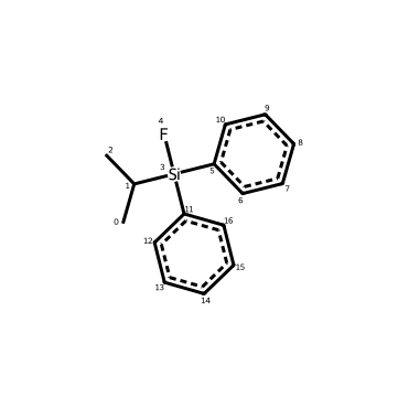 CC(C)[Si](F)(c1ccccc1)c1ccccc1